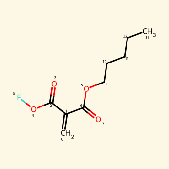 C=C(C(=O)OF)C(=O)OCCCCC